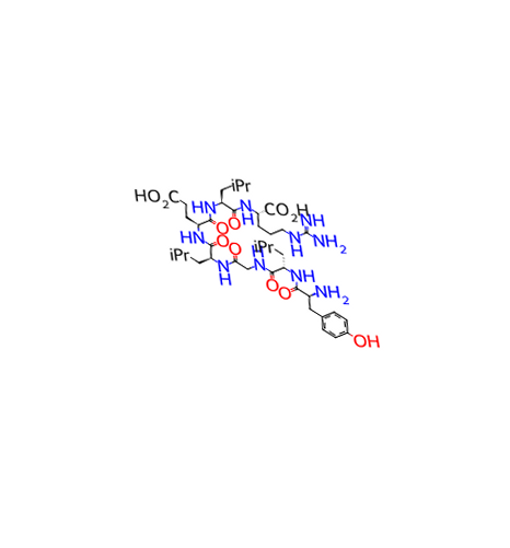 CC(C)C[C@H](NC(=O)CNC(=O)[C@H](CC(C)C)NC(=O)[C@@H](N)Cc1ccc(O)cc1)C(=O)N[C@@H](CCC(=O)O)C(=O)N[C@@H](CC(C)C)C(=O)N[C@@H](CCCNC(=N)N)C(=O)O